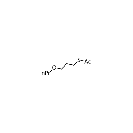 [CH2]CCOCCCSC(C)=O